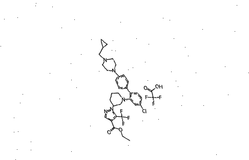 CCOC(=O)c1cnn(C2CCCN(c3cc(Cl)ccc3-c3ccc(N4CCN(CC5CC5)CC4)cc3)C2)c1C(F)(F)F.O=C(O)C(F)(F)F